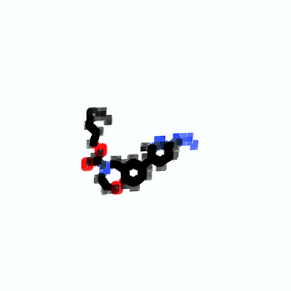 CCCCOC(=O)N1CCOc2ccc(-c3ccc(N)nc3)cc2C1